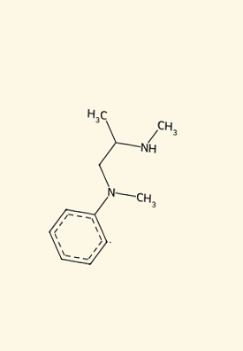 CNC(C)CN(C)c1[c]cccc1